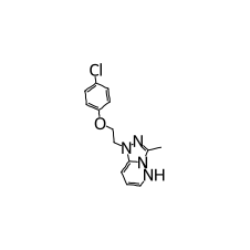 CC1=NN(CCOc2ccc(Cl)cc2)C2=CC=CNN21